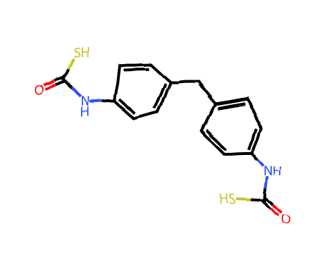 O=C(S)Nc1ccc(Cc2ccc(NC(=O)S)cc2)cc1